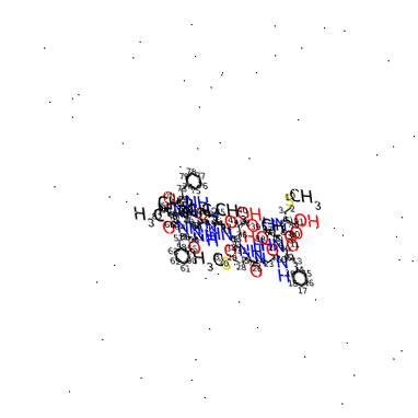 CSCC[C@H](NC(=O)[C@@H](NC(=O)[C@H](Cc1ccccc1)NC(=O)CNC(=O)[C@H](CCSC)NC(=O)[C@H](CCC(=O)O)NC(=O)[C@@H](NC(=O)[C@H](CC(C)C)NC(=O)[C@H](Cc1ccccc1)NC(=O)[C@@H](NC(=O)[C@@H](N)Cc1ccccc1)C(C)C)C(C)C)[C@@H](C)O)C(=O)O